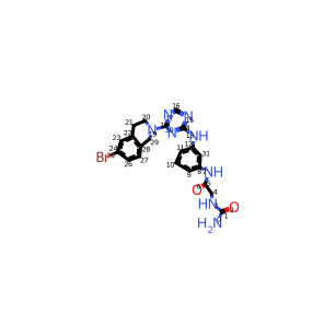 NC(=O)NCC(=O)Nc1cccc(Nc2ncnc(N3CCc4cc(Br)ccc4C3)n2)c1